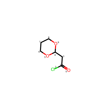 O=C(Cl)CC1OCCCO1